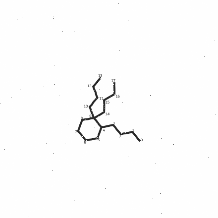 CCCCC1CCCCC1(CCCC)CCCC